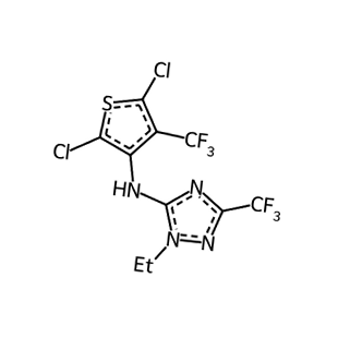 CCn1nc(C(F)(F)F)nc1Nc1c(Cl)sc(Cl)c1C(F)(F)F